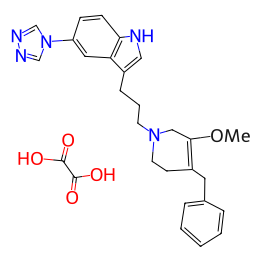 COC1=C(Cc2ccccc2)CCN(CCCc2c[nH]c3ccc(-n4cnnc4)cc23)C1.O=C(O)C(=O)O